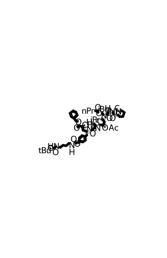 CCCC(=O)OCN(C(=O)[C@@H](NC(=O)[C@H]1CCCCN1C)[C@@H](C)CC)[C@H](C[C@@H](OC(C)=O)c1nc(C(=O)N[C@@H](Cc2ccc(OC(=O)NCCCCNC(=O)OC(C)(C)C)cc2)C[C@H](C)C(=O)OCc2ccccc2)cs1)C(C)C